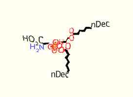 CCCCCCCCCCCCCCCC(=O)OC[C@H](COP(=O)(O)OC[C@H](N)C(=O)O)OC(=O)CCCCCCCCCCCCCCC